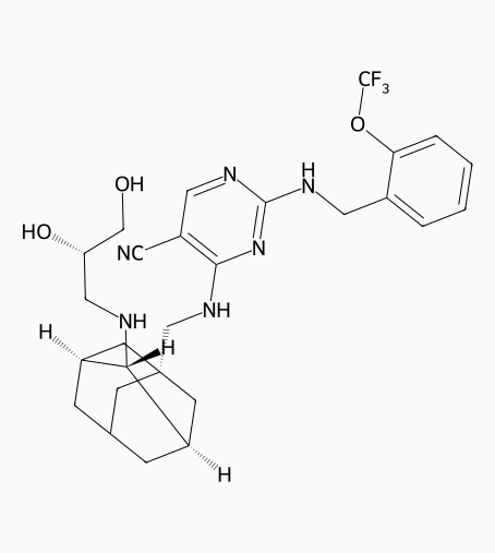 N#Cc1cnc(NCc2ccccc2OC(F)(F)F)nc1NC[C@@]12CC3C[C@H](C1)[C@@H](NC[C@H](O)CO)[C@@H](C3)C2